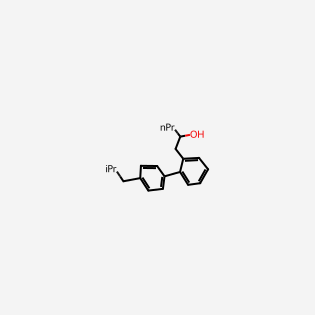 CCCC(O)Cc1ccccc1-c1ccc(CC(C)C)cc1